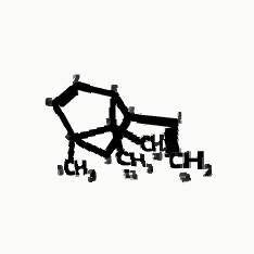 C=CC1CC2(C)C=CC1C2(C)C